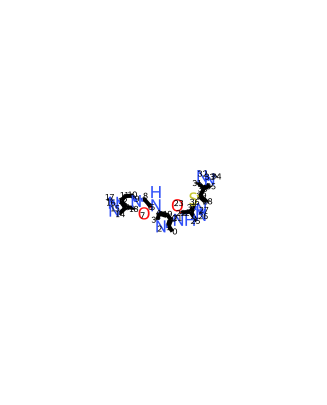 Cc1ncc(NC(=O)CN2CCc3c(cnn3C)C2)cc1NC(=O)c1cnn2cc(-c3cnn(C)c3)sc12